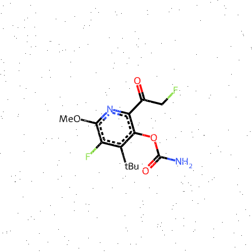 COc1nc(C(=O)CF)c(OC(N)=O)c(C(C)(C)C)c1F